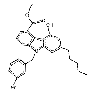 CCCCCc1cc(O)c2c3c(C(=O)OC)cccc3n(Cc3cccc(Br)c3)c2c1